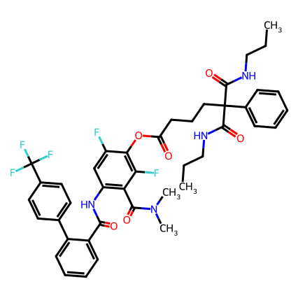 CCCNC(=O)C(CCCC(=O)Oc1c(F)cc(NC(=O)c2ccccc2-c2ccc(C(F)(F)F)cc2)c(C(=O)N(C)C)c1F)(C(=O)NCCC)c1ccccc1